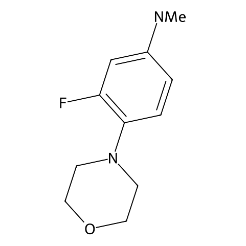 CNc1ccc(N2CCOCC2)c(F)c1